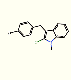 CCc1ccc(Cc2c(Cl)n(C)c3ccccc23)cc1